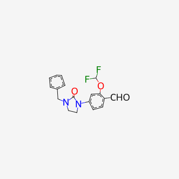 O=Cc1ccc(N2CCN(Cc3ccccc3)C2=O)cc1OC(F)F